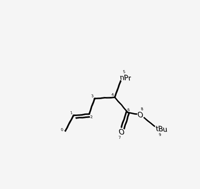 CC=CCC(CCC)C(=O)OC(C)(C)C